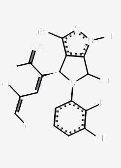 C=C(C)/C(=C\C(Cl)=C/C)[C@H]1c2c(C(C)C)nn(C)c2C(O)N1c1cccc(Cl)c1F